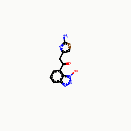 Nc1nc(CC(=O)c2cccc3nnn(O)c23)cs1